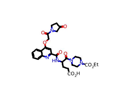 CCOC(=O)N1CCN(C(=O)C(CCC(=O)O)NC(=O)c2cc(OCC(=O)N3CCC(=O)C3)c3ccccc3n2)CC1